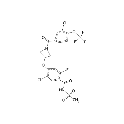 CS(=O)(=O)NC(=O)c1cc(Cl)c(OC2CN(C(=O)c3ccc(OC(F)(F)F)c(Cl)c3)C2)cc1F